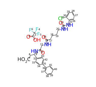 O=C(O)C(F)(F)F.O=C(O)CC(NC(=O)CNC(=O)CCCCNC(=O)Nc1ccccc1Cl)c1ccc(-c2ccccc2)cc1